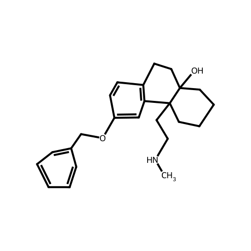 CNCCC12CCCCC1(O)CCc1ccc(OCc3ccccc3)cc12